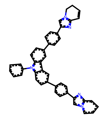 C1=Cc2nc(-c3ccc(-c4ccc5c(c4)c4cc(-c6ccc(-c7cn8ccccc8n7)cc6)ccc4n5-c4ccccc4)cc3)cn2CC1